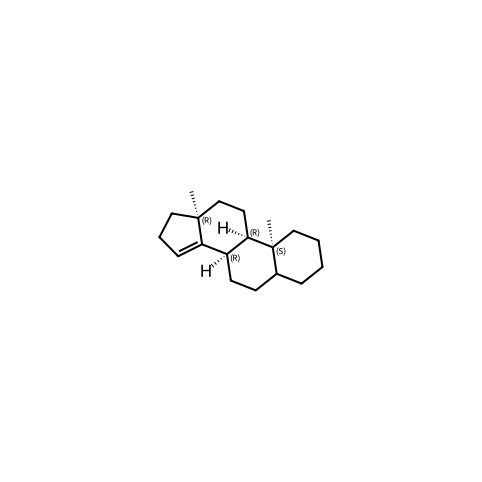 C[C@@]12CCC=C1[C@@H]1CCC3CCCC[C@]3(C)[C@@H]1CC2